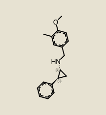 COc1ccc(CN[C@@H]2C[C@H]2c2ccccc2)cc1C